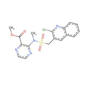 COC(=O)c1nccnc1N(C)S(=O)(=O)Cc1cc2ccccc2nc1Cl